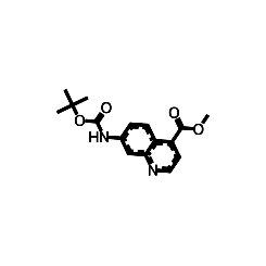 COC(=O)c1ccnc2cc(NC(=O)OC(C)(C)C)ccc12